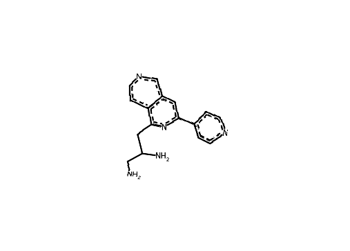 NCC(N)Cc1nc(-c2ccncc2)cc2cnccc12